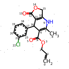 C=CCOC(=O)C1=C(C)NC2=C(C(=O)OC2)C1c1cccc(Cl)c1